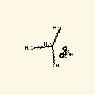 CCCCCCCCCCCCC(N)(CCCCCCCCCCCC)CCCCCCCCCCCC.O=P(O)(Oc1ccccc1)Oc1ccccc1